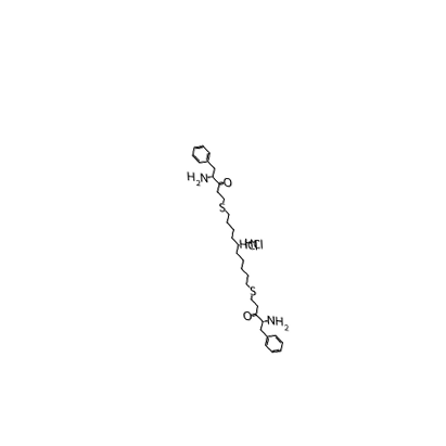 Cl.Cl.N[C@@H](Cc1ccccc1)C(=O)CCSCCCCCCCCCCSCCC(=O)[C@@H](N)Cc1ccccc1